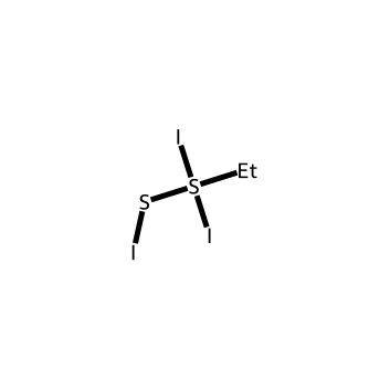 CCS(I)(I)SI